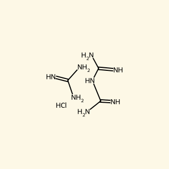 Cl.N=C(N)N.N=C(N)NC(=N)N